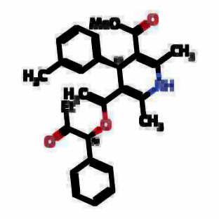 C=C(O[C@H](C(=O)CC)c1ccccc1)C1=C(C)NC(C)=C(C(=O)OC)[C@@H]1c1cccc(C)c1